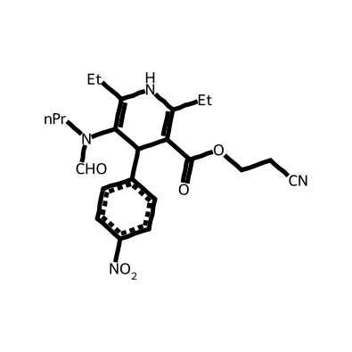 CCCN(C=O)C1=C(CC)NC(CC)=C(C(=O)OCCC#N)C1c1ccc([N+](=O)[O-])cc1